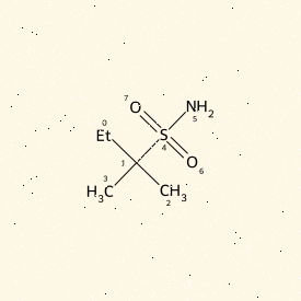 CCC(C)(C)S(N)(=O)=O